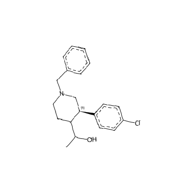 CC(O)C1CCN(Cc2ccccc2)C[C@H]1c1ccc(Cl)cc1